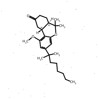 CCCCCCC(C)(C)c1cc(OC)c2c(c1)OC(C)(C)[C@@H]1CCC(=O)C[C@@H]21